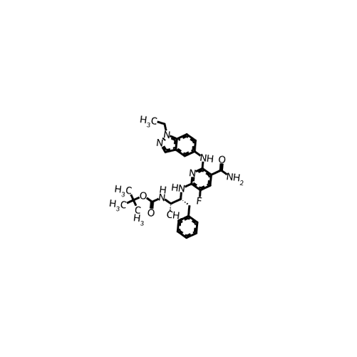 CCn1ncc2cc(Nc3nc(N[C@H](Cc4ccccc4)[C@H](C)NC(=O)OC(C)(C)C)c(F)cc3C(N)=O)ccc21